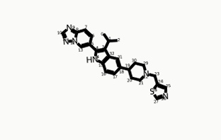 CC(C)c1c(-c2ccc3ncnn3c2)[nH]c2ccc(C3CCN(Cc4cncs4)CC3)cc12